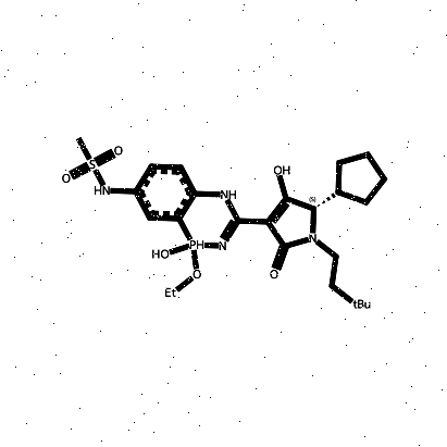 CCO[PH]1(O)N=C(C2=C(O)[C@H](C3CCCC3)N(CCC(C)(C)C)C2=O)Nc2ccc(NS(C)(=O)=O)cc21